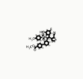 COC(=O)c1ccc(-c2cccc(-c3c(-c4ccsc4C#N)c4cc(F)cc(O)c4n3S(=O)(=O)c3ccc(C)cc3)c2)cc1